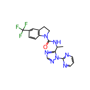 CC(NC(=O)N1CCc2cc(C(F)(F)F)ccc21)c1ncnn1-c1ncccn1